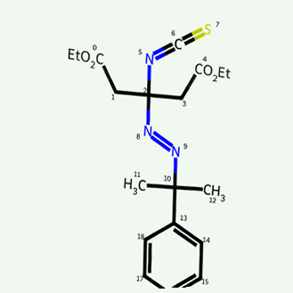 CCOC(=O)CC(CC(=O)OCC)(N=C=S)N=NC(C)(C)c1ccccc1